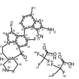 N#Cc1c(N)sc2c(F)ccc(-c3c(F)cc4c5c3c(F)nn5CC[C@@H]3CNCCN3C4=O)c12.O=C(O)C(F)(F)F.O=C(O)C(F)(F)F